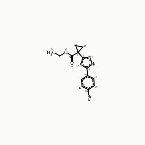 CCOC(=O)C1(c2nnc(-c3ccc(Br)cc3)s2)CC1